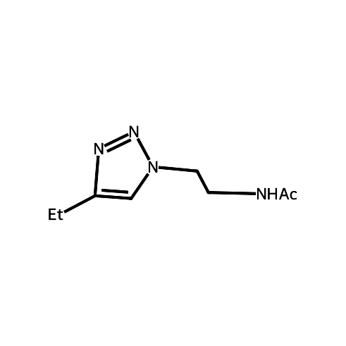 CCc1cn(CCNC(C)=O)nn1